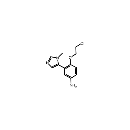 Cn1cncc1-c1cc(N)ccc1OCCCl